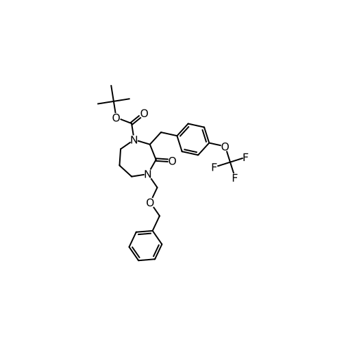 CC(C)(C)OC(=O)N1CCCN(COCc2ccccc2)C(=O)C1Cc1ccc(OC(F)(F)F)cc1